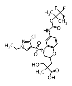 CCn1cc(S(=O)(=O)N2CC(CC(C)(CO)C(=O)O)Oc3ccc(NC(=O)OC(C)(C)C(F)(F)F)cc32)c(Cl)n1